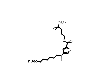 CCCCCCCCCCCCCCCCNc1csc(C(=O)OCCCC(=O)OC)c1